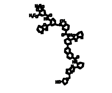 COc1cc(C(=O)Nc2ccc(CN(C)c3cccc(C(=O)Nc4ccc(-c5ccc6ccc(C(=O)Nc7ccccc7-c7cn8c(CN9CC[C@@H](O)C9)csc8n7)cc6c5)cc4-c4nc5ncccc5o4)c3)cc2-c2nc3ncccc3o2)cc(OC)c1OC